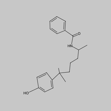 CC(CCCC(C)(C)c1ccc(O)cc1)NC(=O)c1ccccc1